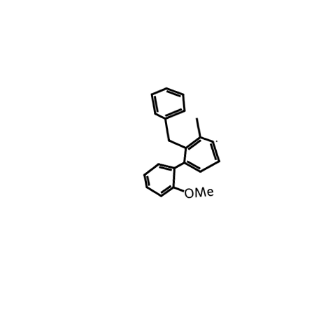 COc1ccccc1-c1cc[c]c(C)c1Cc1ccccc1